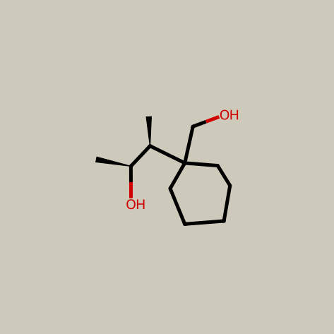 C[C@H](O)[C@@H](C)C1(CO)CCCCC1